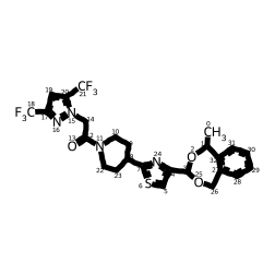 CC1OC(c2csc(C3CCN(C(=O)Cn4nc(C(F)(F)F)cc4C(F)(F)F)CC3)n2)OCc2ccccc21